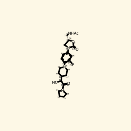 CC(=O)NC[C@H]1CN(c2ccc(N3CCC(C(C#N)C(=O)N4CCCC4)CC3)c(F)c2)C(=O)O1